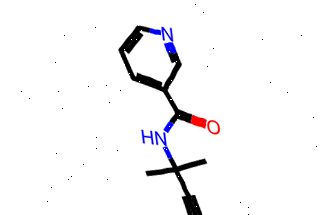 C#CC(C)(C)NC(=O)c1cccnc1